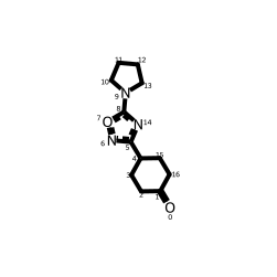 O=C1CCC(c2noc(N3CCCC3)n2)CC1